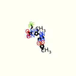 CCC1C[C@H](Nc2c(NCCC(F)(F)F)c(=O)c2=O)CC1c1nnc2cnc3c(ccn3S(=O)(=O)c3ccc(C)cc3)n12